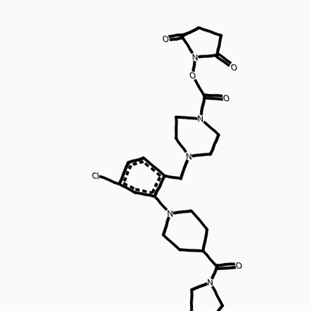 O=C(ON1C(=O)CCC1=O)N1CCN(Cc2ccc(Cl)cc2N2CCC(C(=O)N3CCCC3)CC2)CC1